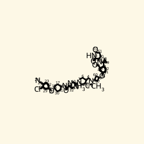 CC(C)N(CC1CCN(c2cnc(C(=O)N[C@H]3CC[C@H](Oc4ccc(C#N)c(Cl)c4)CC3)cn2)CC1)[C@H]1C[C@H](Oc2ccc3c(c2)C(=O)N(C2CCC(=O)NC2=O)C32CC2)C1